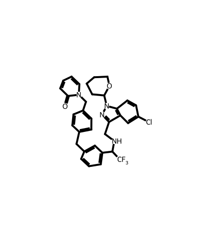 O=c1ccccn1Cc1ccc(Cc2cccc(C(NCc3nn(C4CCCCO4)c4ccc(Cl)cc34)C(F)(F)F)c2)cc1